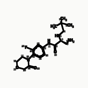 CC(C)(C)CN[C@@H](CN)C(=O)Nc1ccc(N2CCOCC2=O)c(F)c1